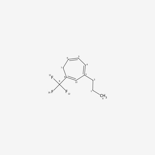 CCCC1=CC=CCC(C(F)(F)F)=C1